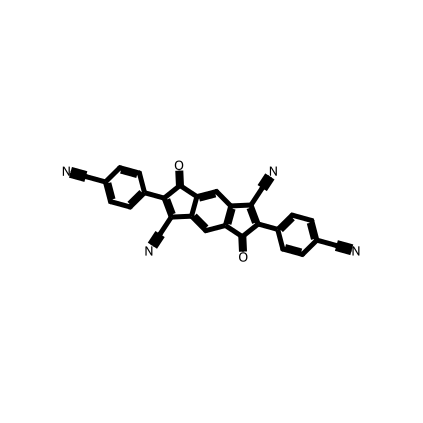 N#Cc1ccc(-c2c(C#N)c3cc4c(=O)c(-c5ccc(C#N)cc5)c(C#N)c4cc3c2=O)cc1